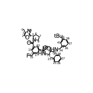 Cc1coc([C@H]2CCCN2C(=O)c2cc(CF)cc(C(=O)N[C@@H](Cc3ccccc3)[C@@H](O)CNCc3cccc(C(C)(C)C)c3)c2)n1